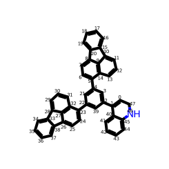 C1=C(c2cc(-c3ccc4c5c(cccc35)-c3ccccc3-4)cc(-c3ccc4c5c(cccc35)-c3ccccc3-4)c2)c2ccccc2NC1